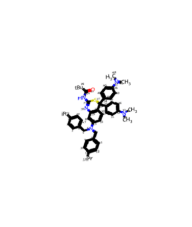 CC(C)c1ccc(CN(Cc2ccc(C(C)C)cc2)c2ccc3c(c2)N=C(NC(=O)C(C)(C)C)SC3(c2ccc(N(C)C)cc2)c2ccc(N(C)C)cc2)cc1